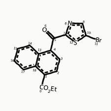 CCOC(=O)c1ccc(C(=O)c2ncc(Br)s2)c2ccccc12